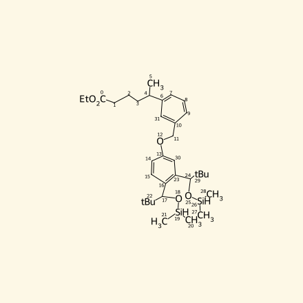 CCOC(=O)CCCC(C)c1cccc(COc2ccc(C(O[SiH](C)C)C(C)(C)C)c(C(O[SiH](C)C)C(C)(C)C)c2)c1